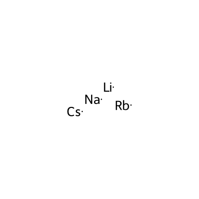 [Cs].[Li].[Na].[Rb]